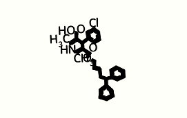 CC1=C(C(=O)O)C(c2cccc(Cl)c2)C(C(=O)OCC=CCC(c2ccccc2)c2ccccc2)=C(C)N1